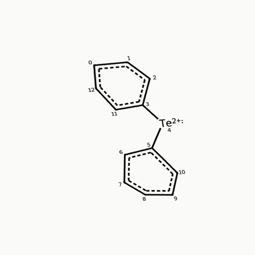 c1ccc([Te+2]c2ccccc2)cc1